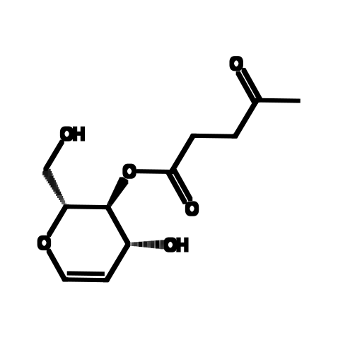 CC(=O)CCC(=O)O[C@H]1[C@H](O)C=CO[C@@H]1CO